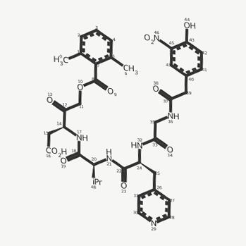 Cc1cccc(C)c1C(=O)OCC(=O)[C@H](CC(=O)O)NC(=O)[C@@H](NC(=O)[C@H](Cc1ccncc1)NC(=O)CNC(=O)Cc1ccc(O)c([N+](=O)[O-])c1)C(C)C